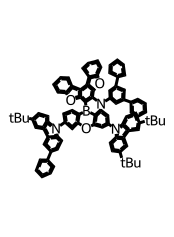 CC(C)(C)c1ccc2c(c1)c1cc(-c3ccccc3)ccc1n2-c1ccc2c(c1)Oc1cc(-n3c4ccc(C(C)(C)C)cc4c4cc(C(C)(C)C)ccc43)cc3c1B2c1c(c2oc4ccccc4c2c2c1oc1ccccc12)N3c1cc(-c2ccccc2)cc(-c2ccccc2)c1